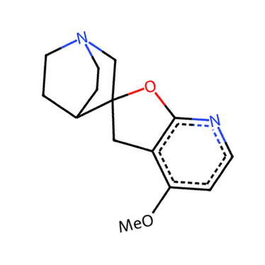 COc1ccnc2c1CC1(CN3CCC1CC3)O2